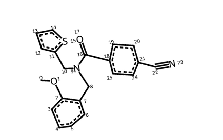 COc1ccccc1CN(Cc1cccs1)C(=O)c1ccc(C#N)cc1